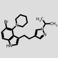 CC(C)n1cc(CCc2c[nH]c3ccc(Br)c(N4CCCCC4)c23)cn1